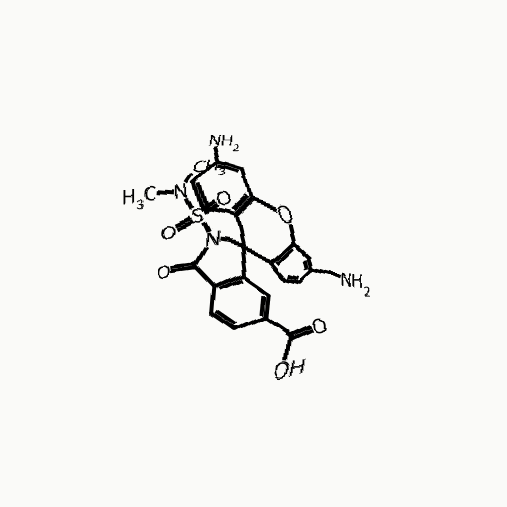 CN(C)S(=O)(=O)N1C(=O)c2ccc(C(=O)O)cc2C12c1ccc(N)cc1Oc1cc(N)ccc12